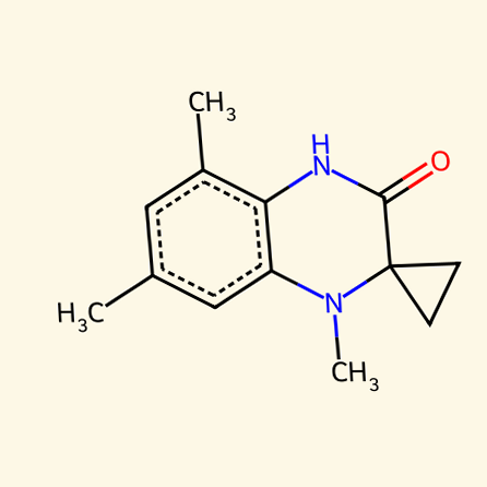 Cc1cc(C)c2c(c1)N(C)C1(CC1)C(=O)N2